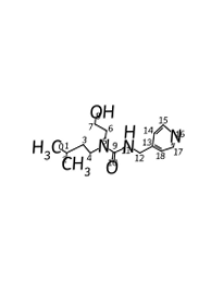 CC(C)CCN(CCO)C(=O)NCc1ccncc1